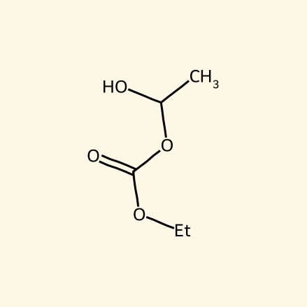 [CH2]COC(=O)OC(C)O